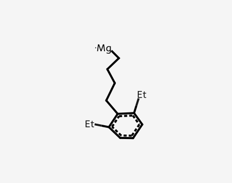 CCc1cccc(CC)c1CCC[CH2][Mg]